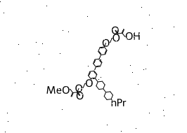 C=C(CO)C(=O)OCCOc1ccc(-c2ccc(-c3ccc(OCCOC(=O)C(=C)COC)c(C4CCC(C5CCC(CCC)CC5)CC4)c3)cc2)cc1